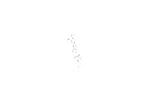 CCCCOc1ccc(OCc2ccc(-c3ccc(C4CCC(C)CC4)c(F)c3F)cc2)cc1F